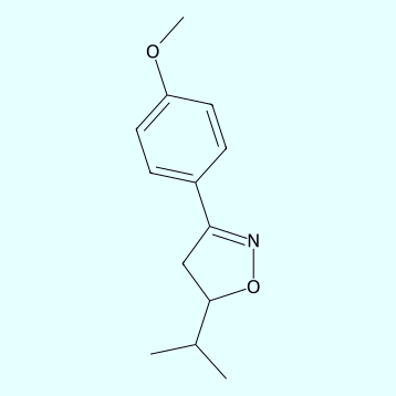 COc1ccc(C2=NOC(C(C)C)C2)cc1